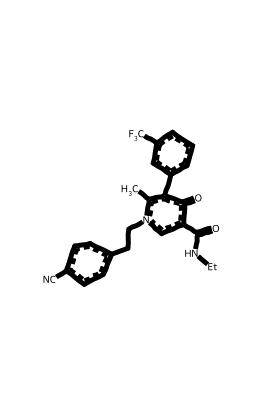 CCNC(=O)c1cn(CCc2ccc(C#N)cc2)c(C)c(-c2cccc(C(F)(F)F)c2)c1=O